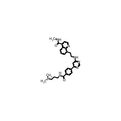 CNC(=O)c1ccnc2c(CCNc3cc(-c4ccc(C(=O)NCCCN(C)C)cc4)ncn3)cccc12